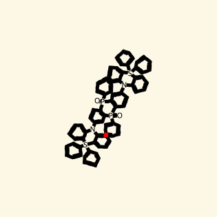 O=P1(c2ccccc2)c2ccc(N3c4ccccc4S(c4ccccc4)(c4ccccc4)c4ccccc43)cc2P(=O)(c2ccccc2)c2ccc(N3c4ccccc4S(c4ccccc4)(c4ccccc4)c4ccccc43)cc21